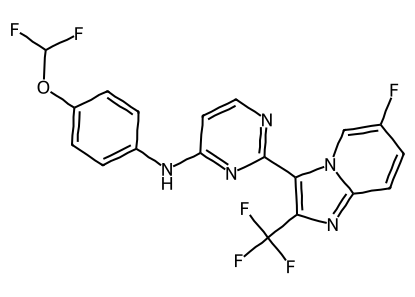 Fc1ccc2nc(C(F)(F)F)c(-c3nccc(Nc4ccc(OC(F)F)cc4)n3)n2c1